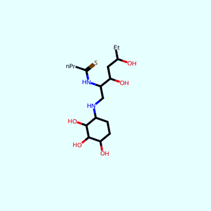 CCCC(=S)NC(CNC1CCC(O)C(O)C1O)C(O)CC(O)CC